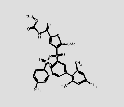 CSc1sc(C(=N)NC(=O)OC(C)(C)C)cc1S(=O)(=NS(=O)(=O)c1ccc(N)cc1)c1cccc(-c2c(C)cc(C)cc2C)c1